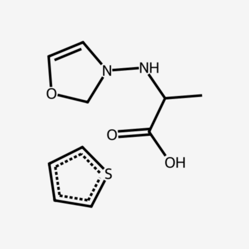 CC(NN1C=COC1)C(=O)O.c1ccsc1